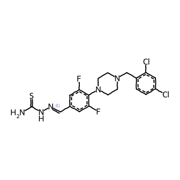 NC(=S)N/N=C/c1cc(F)c(N2CCN(Cc3ccc(Cl)cc3Cl)CC2)c(F)c1